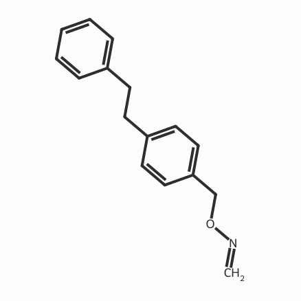 C=NOCc1ccc(CCc2ccccc2)cc1